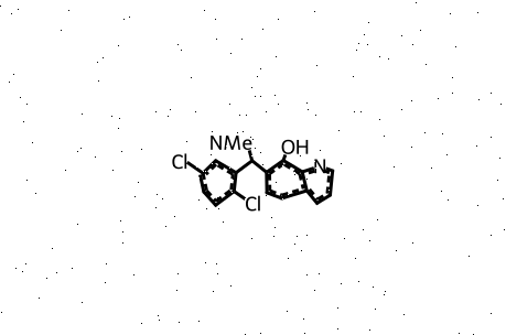 CNC(c1cc(Cl)ccc1Cl)c1ccc2cccnc2c1O